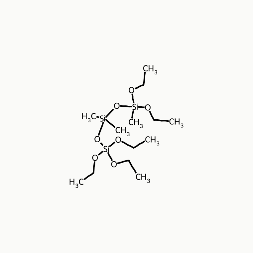 CCO[Si](C)(OCC)O[Si](C)(C)O[Si](OCC)(OCC)OCC